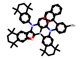 Cc1cc2c3c(c1)N(c1ccc4c(c1)C(C)(C)CCC4(C)C)c1c(oc4cc5c(cc14)C(C)(C)CCC5(C)C)B3c1cc3c(cc1N2c1ccc(C(C)(C)C)cc1-c1cccc2ccccc12)C(C)(C)CCC3(C)C